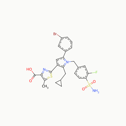 Cc1sc(-c2cc(-c3cccc(Br)c3)n(Cc3ccc(S(N)(=O)=O)c(F)c3)c2CC2CC2)nc1C(=O)O